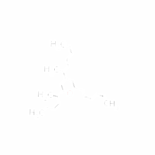 C=C(/C=C\CC)C1=C/C(=C(C)/C=C/C=C\C)C=C(C/C=C\C=C/C)O1